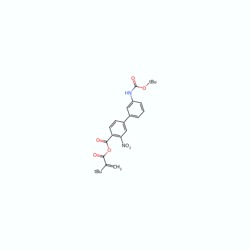 C=C(C(=O)OC(=O)c1ccc(-c2cccc(NC(=O)OC(C)(C)C)c2)cc1[N+](=O)[O-])C(C)(C)C